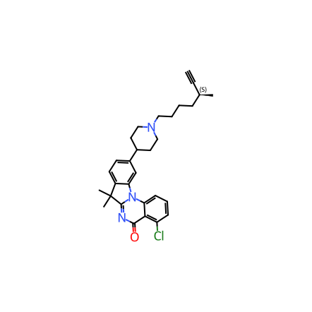 C#C[C@@H](C)CCCCN1CCC(c2ccc3c(c2)-n2c(nc(=O)c4c(Cl)cccc42)C3(C)C)CC1